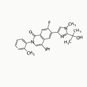 Cc1ccccc1-n1cc(C(C)C)c2cc(-c3cn(C)c(C(C)(C)O)n3)c(F)cc2c1=O